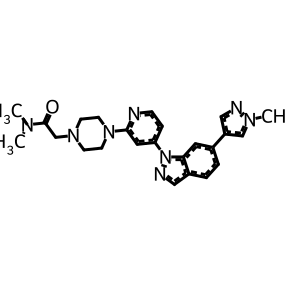 CN(C)C(=O)CN1CCN(c2cc(-n3ncc4ccc(-c5cnn(C)c5)cc43)ccn2)CC1